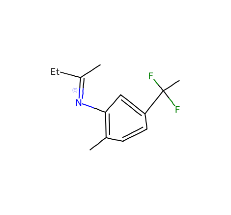 CC/C(C)=N/c1cc(C(C)(F)F)ccc1C